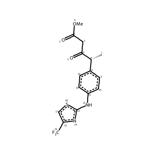 COC(=O)CC(=O)[C@H](C)c1ccc(Nc2nc(C(F)(F)F)cs2)cc1